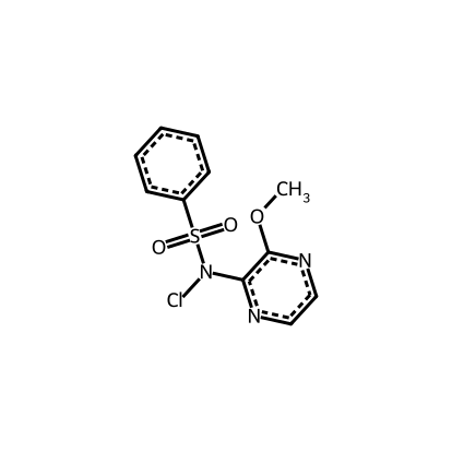 COc1nccnc1N(Cl)S(=O)(=O)c1ccccc1